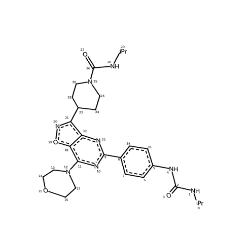 CC(C)NC(=O)Nc1ccc(-c2nc(N3CCOCC3)c3onc(C4CCN(C(=O)NC(C)C)CC4)c3n2)cc1